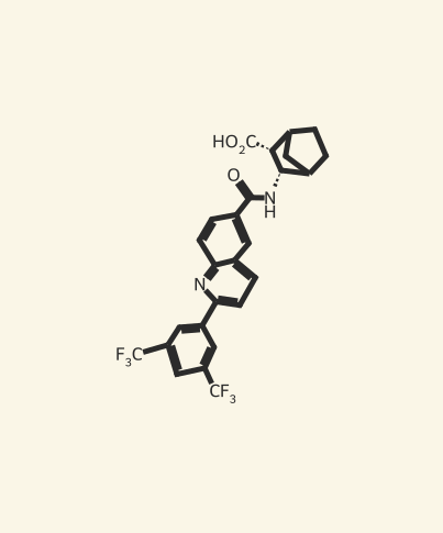 O=C(N[C@H]1C2CCC(C2)[C@H]1C(=O)O)c1ccc2nc(-c3cc(C(F)(F)F)cc(C(F)(F)F)c3)ccc2c1